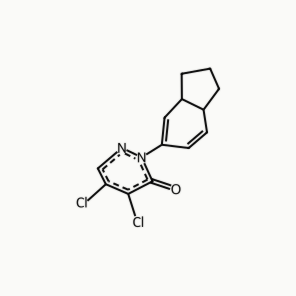 O=c1c(Cl)c(Cl)cnn1C1=CC2CCCC2C=C1